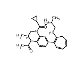 CC(=O)C1c2ccc(C3=C(NCC(C)C)CC=CC=C3)cc2N(C(=O)C2CC2)C[C@@H]1C